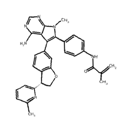 C=C(C)C(=O)Nc1ccc(-c2c(-c3ccc4c(c3)OC[C@@H]4c3cccc(C)n3)c3c(N)ncnc3n2C)cc1